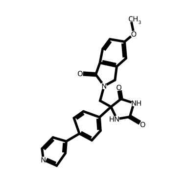 COc1ccc2c(c1)CN(CC1(c3ccc(-c4ccncc4)cc3)NC(=O)NC1=O)C2=O